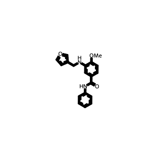 COc1ccc(C(=O)Nc2ccccc2)cc1NCc1ccoc1